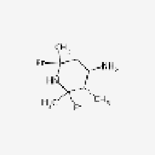 CCC1(C)CC(N)C(C)C(C)(CC)N1